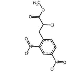 COC(=O)C(Cl)Cc1ccc([N+](=O)[O-])cc1[N+](=O)[O-]